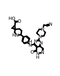 N#CCN1CCN(c2nc(Nc3ccc(C4CCC5(CN4)CC5C(=O)O)cc3)c3c(=O)[nH]ncc3n2)CC1